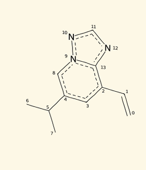 C=Cc1cc(C(C)C)cn2ncnc12